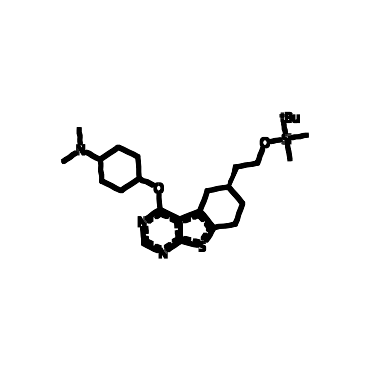 CN(C)C1CCC(Oc2ncnc3sc4c(c23)C[C@@H](CCO[Si](C)(C)C(C)(C)C)CC4)CC1